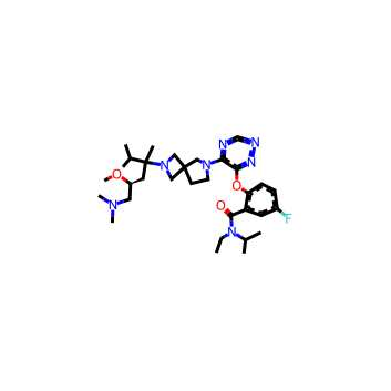 CCN(C(=O)c1cc(F)ccc1Oc1nncnc1N1CCC2(C1)CN(C(C)(C[C@@H](CN(C)C)OC)C(C)C)C2)C(C)C